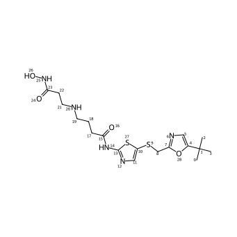 CC(C)(C)c1cnc(CSc2cnc(NC(=O)CCCNCCC(=O)NO)s2)o1